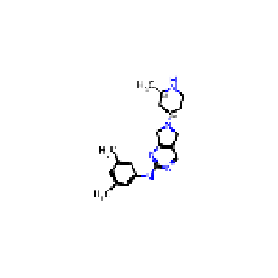 Cc1cc(C)cc(Nc2ncc3c(n2)CN([C@H]2CCN[C@@H](C)C2)C3)c1